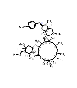 CCCNC[C@]1(O)[C@H](C)O[C@@H](O[C@H]2[C@H](C)[C@@H](O[C@@H]3O[C@H](C)C[C@H]4[C@H]3O/C(=N\c3ccc(OC)cc3)N4C)[C@](C)(O)C[C@@H](C)CN(C)[C@H](C)[C@@H](O)[C@](C)(O)[C@@H](CC)OC(=O)[C@@H]2C)C[C@@]1(C)OC